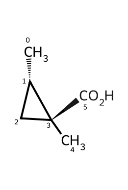 C[C@H]1C[C@]1(C)C(=O)O